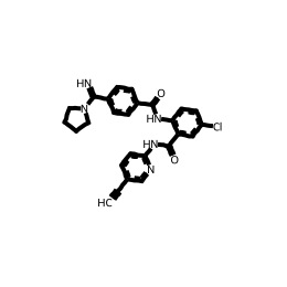 C#Cc1ccc(NC(=O)c2cc(Cl)ccc2NC(=O)c2ccc(C(=N)N3CCCC3)cc2)nc1